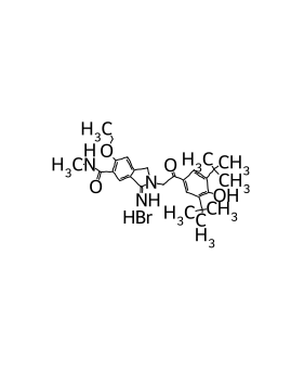 Br.CCOc1cc2c(cc1C(=O)NC)C(=N)N(CC(=O)c1cc(C(C)(C)C)c(O)c(C(C)(C)C)c1)C2